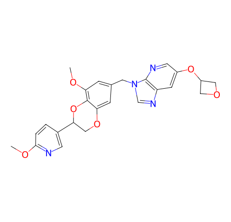 COc1ccc(C2COc3cc(Cn4cnc5cc(OC6COC6)cnc54)cc(OC)c3O2)cn1